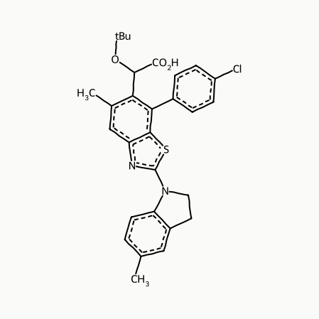 Cc1ccc2c(c1)CCN2c1nc2cc(C)c(C(OC(C)(C)C)C(=O)O)c(-c3ccc(Cl)cc3)c2s1